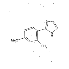 COc1ccc(-c2ncc[nH]2)c(C)c1